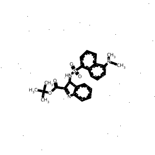 CN(C)c1cccc2c(S(=O)(=O)NC3C(C(=O)OC(C)(C)C)=Nc4ccccc43)cccc12